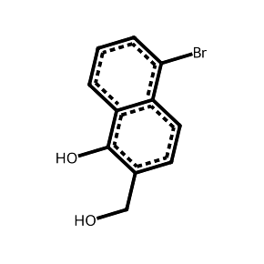 OCc1ccc2c(Br)cccc2c1O